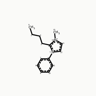 CCCCc1n(-c2ccccc2)cc[n+]1C